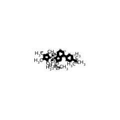 CC1=Cc2c(-c3ccc(C(C)(C)C)cc3)cccc2C1[Si](C)(C)C1C(C)=C(C)C(C)=C1C.[CH3][Zr][CH3]